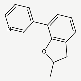 CC1Cc2cccc(-c3cccnc3)c2O1